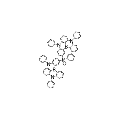 O=P(c1ccccc1)(c1ccc2c(c1)B1c3ccccc3N(c3ccccc3)c3cccc(c31)N2c1ccccc1)c1ccc2c(c1)B1c3ccccc3N(c3ccccc3)c3cccc(c31)N2c1ccccc1